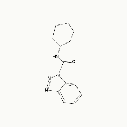 O=C(NC1CCCCC1)n1nnc2ccccc21